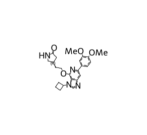 COc1ccc(-c2cc3ncn(C4CCC4)c3c(OCC[C@H]3CNC(=O)C3)n2)cc1OC